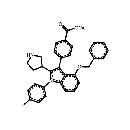 COC(=O)c1ccc(-c2c(C3CCNC3)n(-c3ccc(F)cc3)c3cccc(OCc4ccccc4)c23)cc1